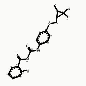 CC1C(COc2ccc(NC(=O)NC(=O)c3ccccc3Cl)cc2)C1(Cl)Cl